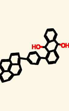 OC1c2ccccc2C(O)c2c(-c3ccc(-c4ccc5ccc6cccc7ccc4c5c67)cc3)cccc21